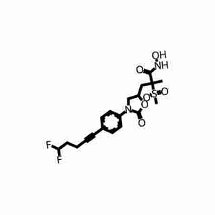 CC(CC1CN(c2ccc(C#CCCC(F)F)cc2)C(=O)O1)(C(=O)NO)S(C)(=O)=O